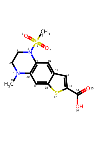 CN1CCN(S(C)(=O)=O)c2cc3cc(C(=O)O)sc3cc21